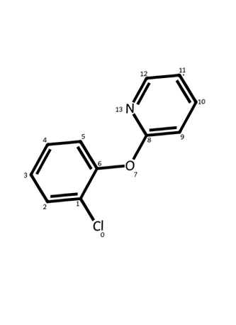 Clc1ccccc1Oc1cc[c]cn1